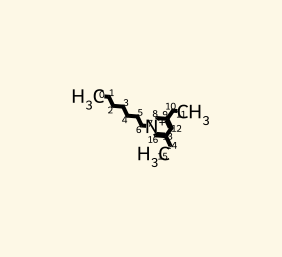 CCCCCCC[n+]1cc(CC)cc(CC)c1